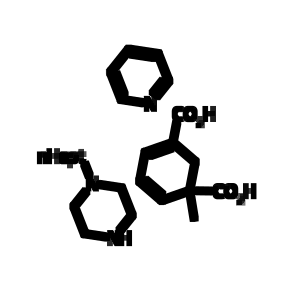 CC1(C(=O)O)C=CC=C(C(=O)O)C1.CCCCCCCN1CCNCC1.c1ccncc1